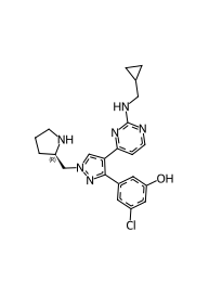 Oc1cc(Cl)cc(-c2nn(C[C@H]3CCCN3)cc2-c2ccnc(NCC3CC3)n2)c1